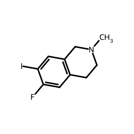 CN1CCc2cc(F)c(I)cc2C1